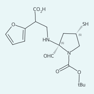 CC(C)(C)OC(=O)N1C[C@@H](S)C[C@]1(C=O)NCC(C(=O)O)c1ccco1